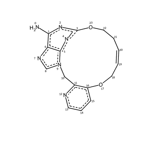 Nc1nc2nc3c1ncn3Cc1ncccc1OC/C=C\CCO2